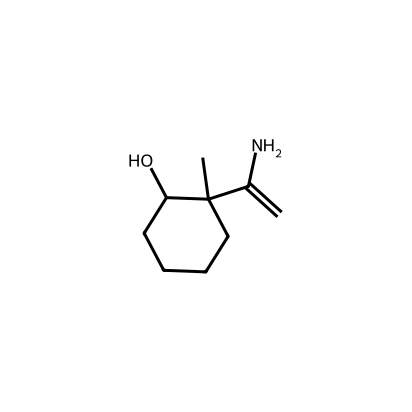 C=C(N)C1(C)CCCCC1O